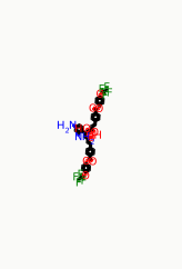 Nc1ccc(C(CC(=O)C=Cc2ccc(C(=O)Oc3ccc(OC(F)(F)C(F)F)cc3)cc2)C(O)(O)C(=O)C=Cc2ccc(C(=O)Oc3ccc(OC(F)(F)C(F)F)cc3)cc2)c(N)c1